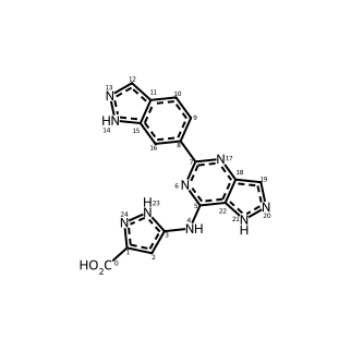 O=C(O)c1cc(Nc2nc(-c3ccc4cn[nH]c4c3)nc3cn[nH]c23)[nH]n1